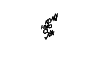 O=C(Nc1cccc(-c2nncn2C2CC2)c1)c1cc(-n2cncn2)ccn1